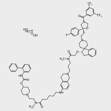 CN(CCN1CCC(OC(=O)Nc2ccccc2-c2ccccc2)CC1)C(=O)CCCCCNc1ccc2c(c1)CCN(CCCN(C)C(=O)CO[C@H]1Cc3ccccc3C13CCN(CC[C@@]1(c4ccc(F)cc4)CN(C(=O)c4cc(C(F)(F)F)cc(C(F)(F)F)c4)CO1)CC3)C2.Cl.Cl.Cl.Cl